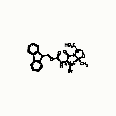 CC(C)C[C@H](NC(=O)OCC1c2ccccc2-c2ccccc21)C(=O)N1[C@H](C(=O)O)COC1(C)C